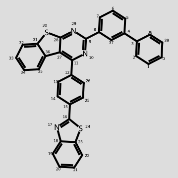 c1ccc(-c2cccc(-c3nc(-c4ccc(-c5nc6ccccc6s5)cc4)c4c(n3)sc3ccccc34)c2)cc1